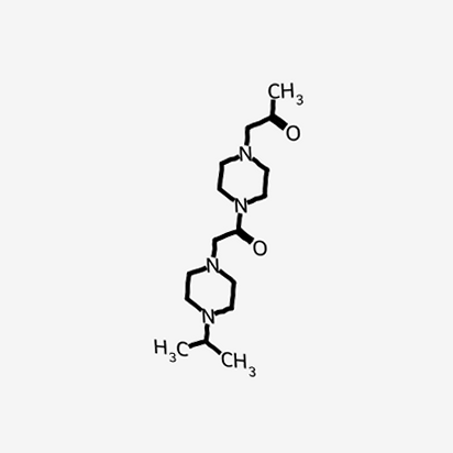 CC(=O)CN1CCN(C(=O)CN2CCN(C(C)C)CC2)CC1